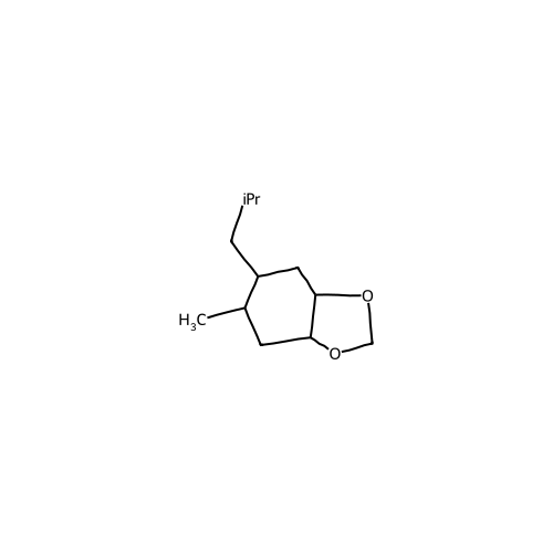 CC(C)CC1CC2OCOC2CC1C